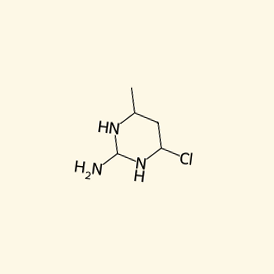 CC1CC(Cl)NC(N)N1